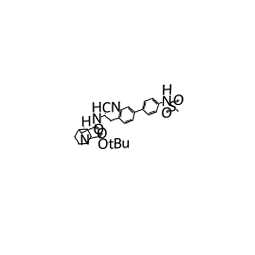 CC(C)(C)OC(=O)N1C2CCC(CC2)[C@H]1C(=O)N[C@H](C#N)Cc1ccc(-c2ccc(NS(C)(=O)=O)cc2)cc1